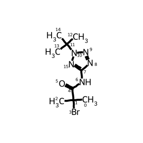 CC(C)(Br)C(=O)Nc1nnn(C(C)(C)C)n1